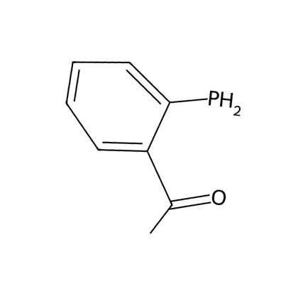 CC(=O)c1ccccc1P